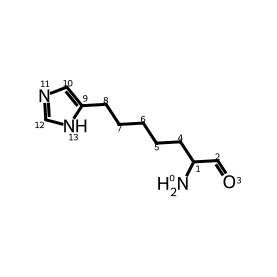 NC(C=O)CCCCCc1cnc[nH]1